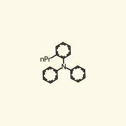 CCCc1ccccc1N(c1ccccc1)c1ccccc1